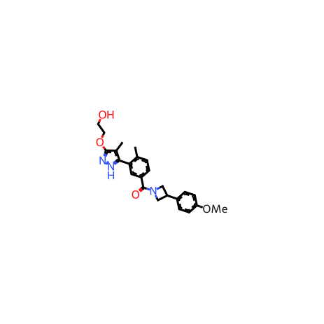 COc1ccc(C2CN(C(=O)c3ccc(C)c(-c4[nH]nc(OCCO)c4C)c3)C2)cc1